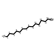 FCCCCCCCCCCCCCCBr